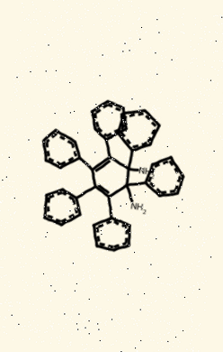 NC1(c2ccccc2)C(c2ccccc2)=C(c2ccccc2)C(c2ccccc2)=C(c2ccccc2)C1(N)c1ccccc1